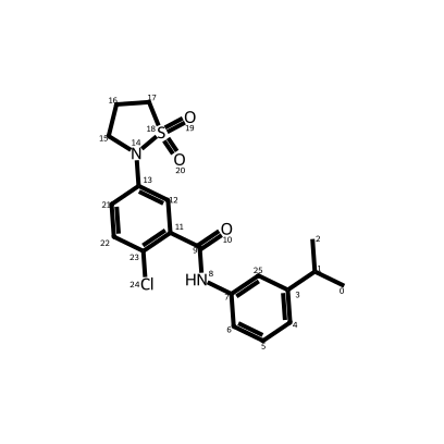 CC(C)c1cccc(NC(=O)c2cc(N3CCCS3(=O)=O)ccc2Cl)c1